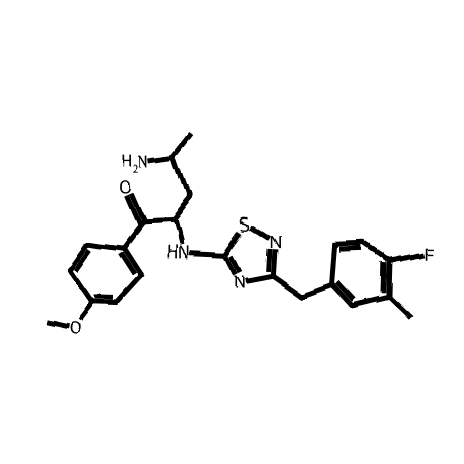 COc1ccc(C(=O)C(CC(C)N)Nc2nc(Cc3ccc(F)c(C)c3)ns2)cc1